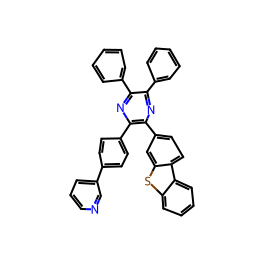 c1ccc(-c2nc(-c3ccc(-c4cccnc4)cc3)c(-c3ccc4c(c3)sc3ccccc34)nc2-c2ccccc2)cc1